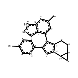 Cc1cc(-c2c(-c3ccc(F)cn3)nn3c2CCC2CC23)c2cn[nH]c2n1